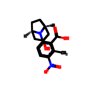 Cc1c([N+](=O)[O-])ccc(N2[C@@H]3CC[C@H]2C[C@@H](O)C3)c1C(=O)O